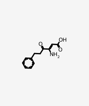 NC(=CC(=O)O)C(=O)CCc1ccccc1